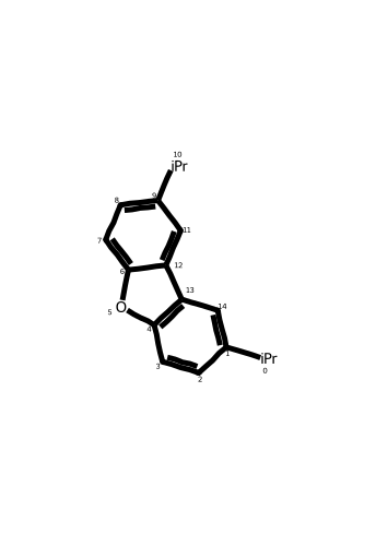 CC(C)c1ccc2oc3ccc(C(C)C)cc3c2c1